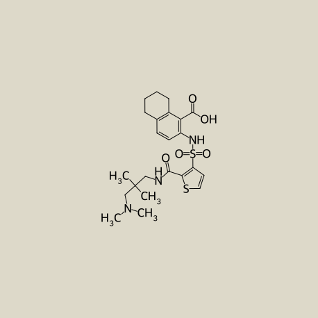 CN(C)CC(C)(C)CNC(=O)c1sccc1S(=O)(=O)Nc1ccc2c(c1C(=O)O)CCCC2